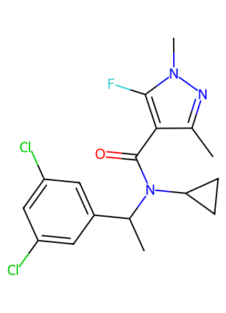 Cc1nn(C)c(F)c1C(=O)N(C1CC1)C(C)c1cc(Cl)cc(Cl)c1